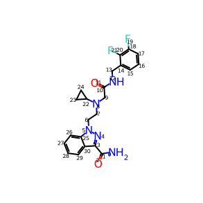 NC(=O)c1nn(CCN(CC(=O)NCc2cccc(F)c2F)C2CC2)c2ccccc12